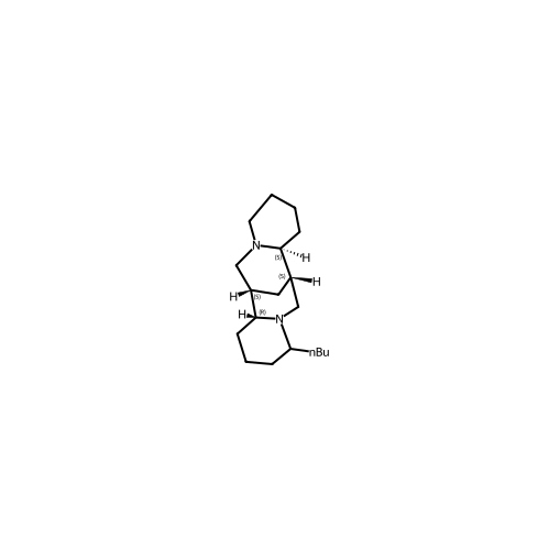 CCCCC1CCC[C@@H]2[C@H]3C[C@@H](CN12)[C@@H]1CCCCN1C3